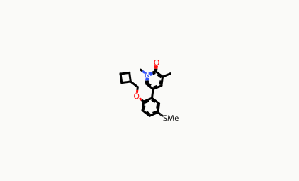 CSc1ccc(OCC2CCC2)c(-c2cc(C)c(=O)n(C)c2)c1